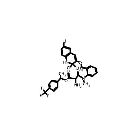 CC(OC(=O)C(N)C(=O)N(C)c1ccccc1COC1=Cc2cc(Cl)ccc2NC1(C)Cl)c1ccc(C(F)(F)F)cc1